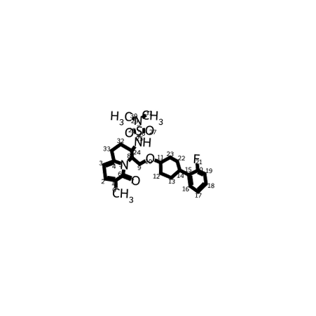 Cc1ccc2n(c1=O)C(COC1CCC(c3ccccc3F)CC1)C(NS(=O)(=O)N(C)C)CC2